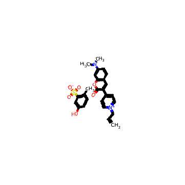 C=CC[n+]1ccc(-c2cc3ccc(N(C)C)cc3oc2=O)cc1.Cc1ccc(O)cc1S(=O)(=O)[O-]